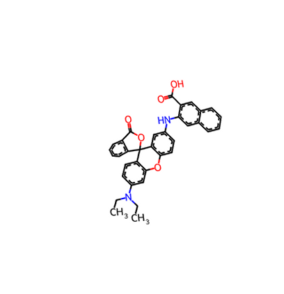 CCN(CC)c1ccc2c(c1)Oc1ccc(Nc3cc4ccccc4cc3C(=O)O)cc1C21OC(=O)c2ccccc21